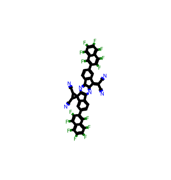 N#CC(C#N)=C1c2cc(-c3c(F)c(F)c4c(F)c(F)c(F)c(F)c4c3F)ccc2-c2nc3c(nc21)-c1ccc(-c2c(F)c(F)c4c(F)c(F)c(F)c(F)c4c2F)cc1C31C(C#N)C1C#N